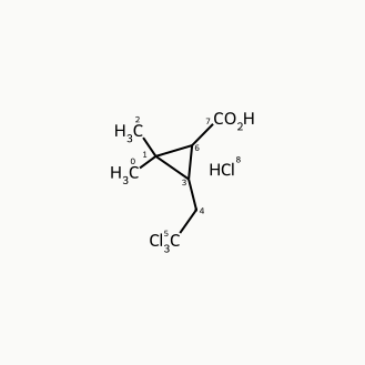 CC1(C)C(CC(Cl)(Cl)Cl)C1C(=O)O.Cl